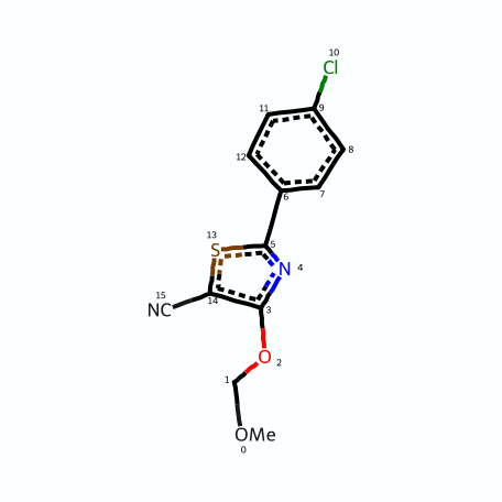 COCOc1nc(-c2ccc(Cl)cc2)sc1C#N